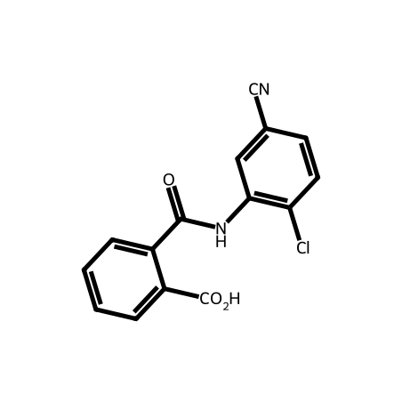 N#Cc1ccc(Cl)c(NC(=O)c2ccccc2C(=O)O)c1